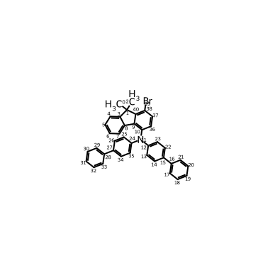 CC1(C)c2ccccc2-c2c(N(c3ccc(-c4ccccc4)cc3)c3ccc(-c4ccccc4)cc3)ccc(Br)c21